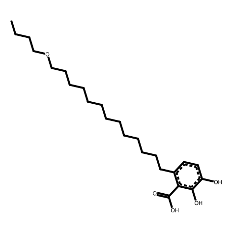 CCCCOCCCCCCCCCCCCCc1ccc(O)c(O)c1C(=O)O